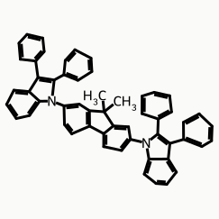 CC1(C)c2cc(-n3c(-c4ccccc4)c(-c4ccccc4)c4ccccc43)ccc2-c2ccc(-n3c(-c4ccccc4)c(-c4ccccc4)c4ccccc43)cc21